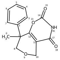 CC1(c2ccccc2)COCc2c1oc(=O)[nH]c2=O